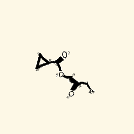 O=C(CBr)COC(=O)C1CC1